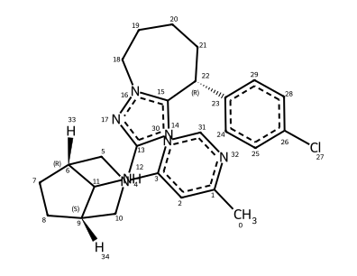 Cc1cc(N2C[C@H]3CC[C@@H](C2)C3Nc2nc3n(n2)CCCC[C@@H]3c2ccc(Cl)cc2)ncn1